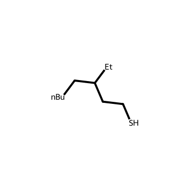 CCCCCC(CC)CCS